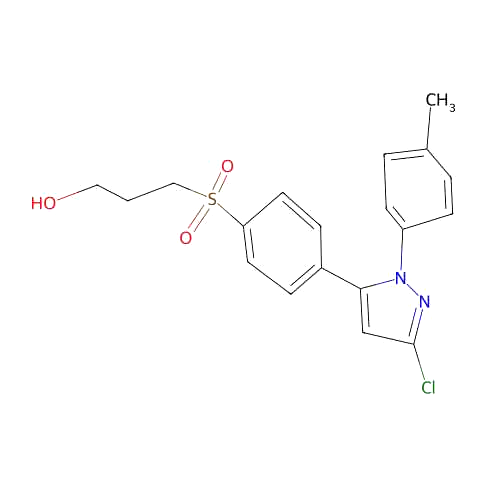 Cc1ccc(-n2nc(Cl)cc2-c2ccc(S(=O)(=O)CCCO)cc2)cc1